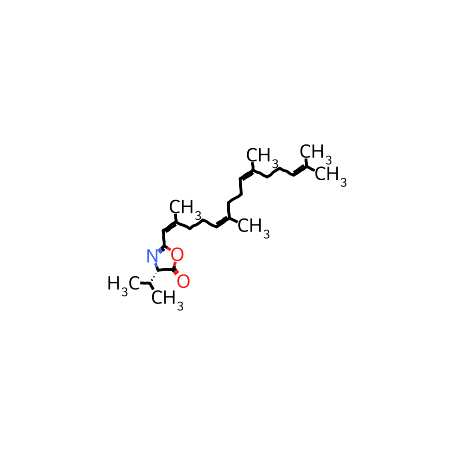 CC(C)=CCCC(C)=CCCC(C)=CCCC(C)=CC1=N[C@@H](C(C)C)C(=O)O1